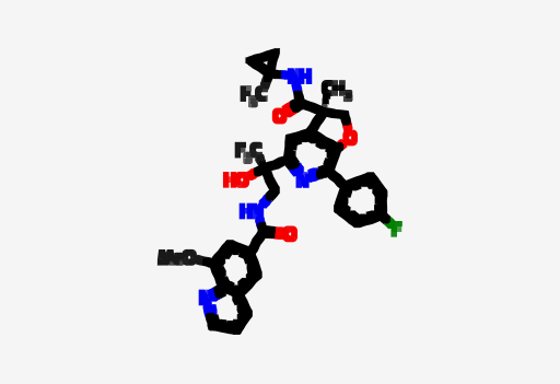 COc1cc(C(=O)NC[C@](O)(c2cc3c(c(-c4ccc(F)cc4)n2)OC[C@]3(C)C(=O)NC2(C(F)(F)F)CC2)C(F)(F)F)cc2cccnc12